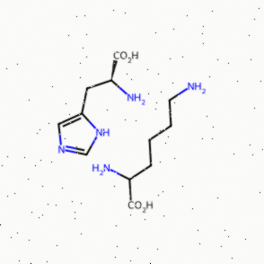 NCCCCC(N)C(=O)O.N[C@@H](Cc1cnc[nH]1)C(=O)O